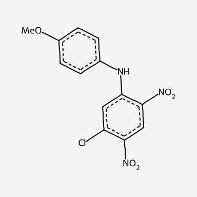 COc1ccc(Nc2cc(Cl)c([N+](=O)[O-])cc2[N+](=O)[O-])cc1